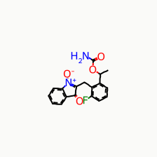 CC(OC(N)=O)c1cccc(F)c1CC1=[N+]([O-])c2ccccc2C1=O